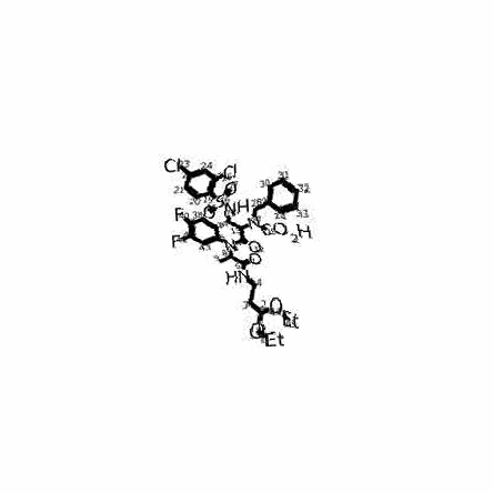 CCOC(CCNC(=O)C(C)N(C(=O)C(CNS(=O)(=O)c1ccc(Cl)cc1Cl)N(Cc1ccccc1)C(=O)O)c1ccc(F)c(F)c1)OCC